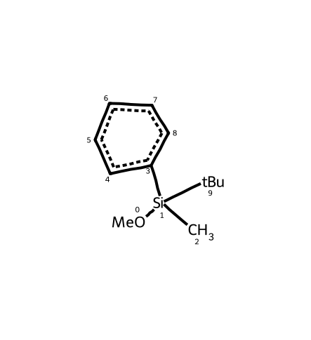 CO[Si](C)(c1ccccc1)C(C)(C)C